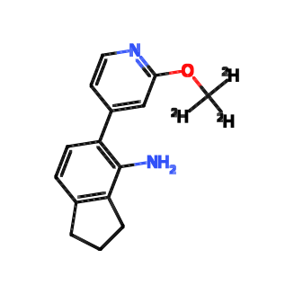 [2H]C([2H])([2H])Oc1cc(-c2ccc3c(c2N)CCC3)ccn1